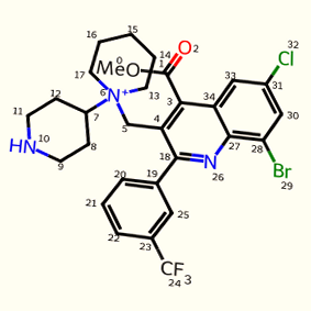 COC(=O)c1c(C[N+]2(C3CCNCC3)CCCCC2)c(-c2cccc(C(F)(F)F)c2)nc2c(Br)cc(Cl)cc12